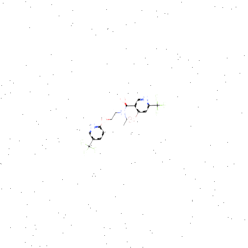 CCN(C(=O)c1cnc(C(F)(F)F)cc1Br)[C@@H](C)COc1ccc(C(F)(F)F)cn1